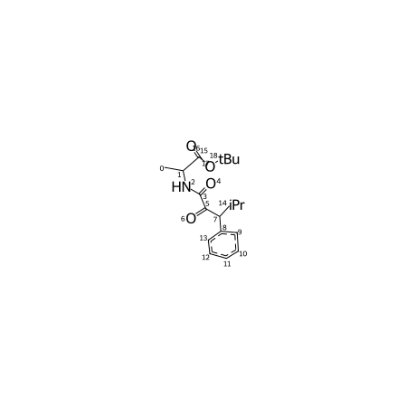 CC(NC(=O)C(=O)C(c1ccccc1)C(C)C)C(=O)OC(C)(C)C